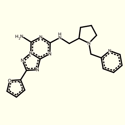 Nc1nc(NCC2CCCN2Cc2ccccn2)nc2nc(-c3ccco3)nn12